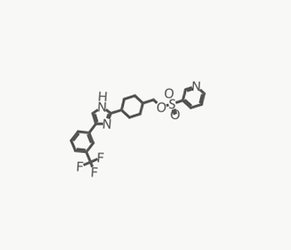 O=S(=O)(OCC1CCC(c2nc(-c3cccc(C(F)(F)F)c3)c[nH]2)CC1)c1cccnc1